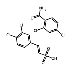 NC(=O)c1ccc(Cl)cc1Cl.O=S(=O)(O)/C=C/c1ccc(Cl)c(Cl)c1